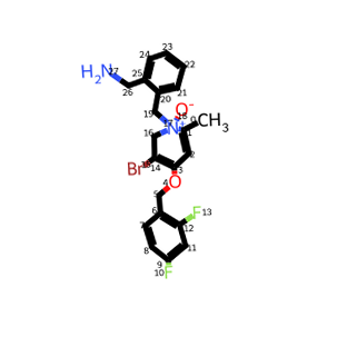 CC1=CC(OCc2ccc(F)cc2F)=C(Br)C[N+]1([O-])Cc1ccccc1CN